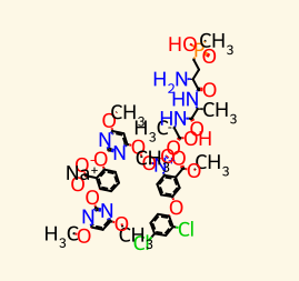 COC(=O)c1cc(Oc2ccc(Cl)cc2Cl)ccc1[N+](=O)[O-].COc1cc(OC)nc(Oc2cccc(Oc3nc(OC)cc(OC)n3)c2C(=O)[O-])n1.C[C@H](NC(=O)[C@H](C)NC(=O)[C@@H](N)CCP(C)(=O)O)C(=O)O.[Na+]